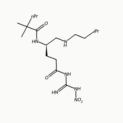 CCCC(C)(C)C(=O)N[C@H](CCC(=O)NC(=N)N[N+](=O)[O-])CNCCC(C)C